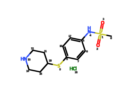 CS(=O)(=O)Nc1ccc(SC2CCNCC2)cc1.Cl